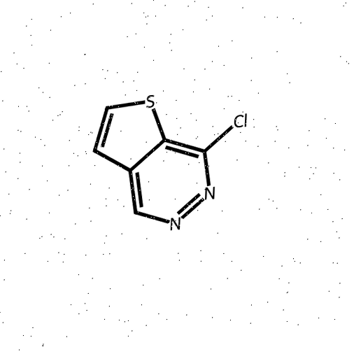 Clc1nncc2ccsc12